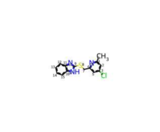 Cc1cc(Cl)cc(CSc2nc3ccccc3[nH]2)n1